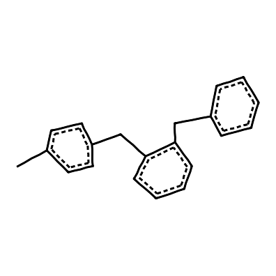 Cc1ccc(Cc2ccccc2Cc2ccccc2)cc1